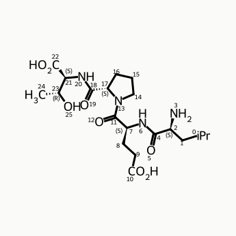 CC(C)C[C@H](N)C(=O)N[C@@H](CCC(=O)O)C(=O)N1CCC[C@H]1C(=O)N[C@H](C(=O)O)[C@@H](C)O